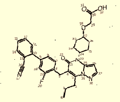 CCCc1c(Cc2ccc(-c3ccccc3C#N)cc2F)c(=O)n([C@H]2CC[C@H](OCC(=O)O)CC2)c2ccnn12